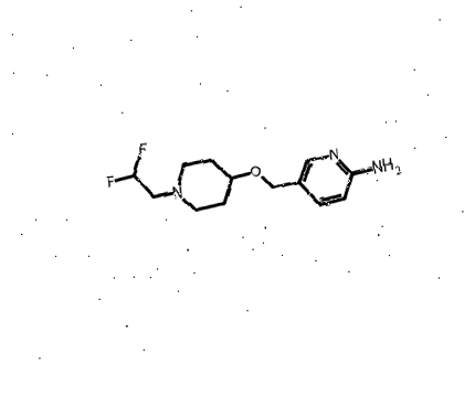 Nc1ccc(COC2CCN(CC(F)F)CC2)cn1